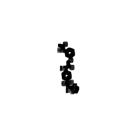 CC(=O)Nc1cccc(OCC(=O)Nc2ccc(S(=O)(=O)Nc3nccs3)cc2)c1